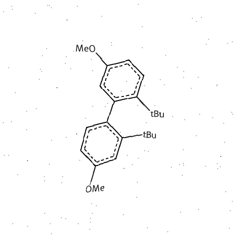 COc1ccc(C(C)(C)C)c(-c2ccc(OC)cc2C(C)(C)C)c1